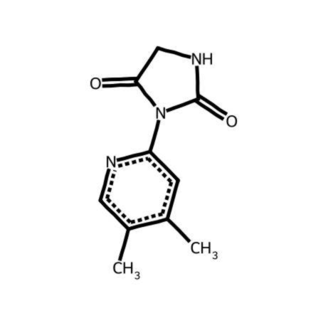 Cc1cnc(N2C(=O)CNC2=O)cc1C